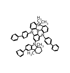 CC12CCCCC1(C)N(c1cc3c4c(c1)N(c1ccc(-c5ccccc5)cc1)c1cccc5c1B4c1c(cccc1[Si]5(C)C)N3c1ccc(-c3ccccc3)cc1)c1ccc(-c3ccccc3)cc12